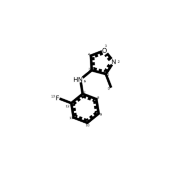 Cc1nocc1Nc1ccccc1F